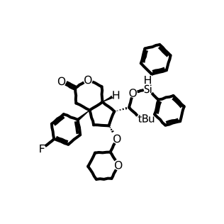 CC(C)(C)C(O[SiH](c1ccccc1)c1ccccc1)[C@H]1[C@H]2COC(=O)C[C@@]2(c2ccc(F)cc2)C[C@H]1OC1CCCCO1